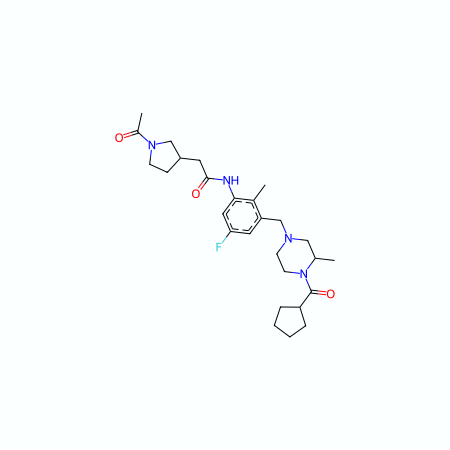 CC(=O)N1CCC(CC(=O)Nc2cc(F)cc(CN3CCN(C(=O)C4CCCC4)C(C)C3)c2C)C1